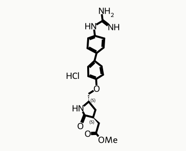 COC(=O)C[C@@H]1C[C@@H](COc2ccc(-c3ccc(NC(=N)N)cc3)cc2)NC1=O.Cl